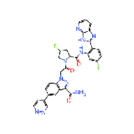 NC(=O)c1nn(CC(=O)N2CC(F)CC2C(=O)Nc2cc(F)ccc2-c2nc3cccnc3[nH]2)c2ccc(-c3ccnnc3)cc12